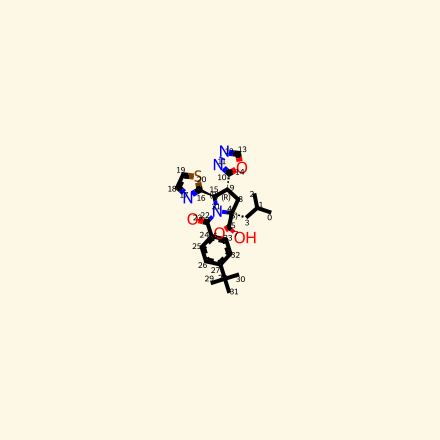 CC(C)C[C@@]1(C(=O)O)C[C@@H](c2nnco2)[C@H](c2nccs2)N1C(=O)c1ccc(C(C)(C)C)cc1